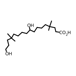 CC(C)(CCCO)CCCCC(O)CCCCC(C)(C)CCC(=O)O